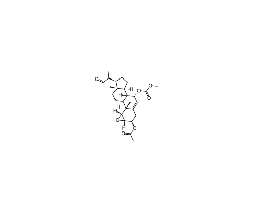 COC(=O)O[C@@H]1C=C2C[C@@H](OC(C)=O)[C@@H]3O[C@@H]3[C@]2(C)[C@H]2CC[C@]3(C)[C@@H](C(C)C=O)CC[C@H]3[C@H]12